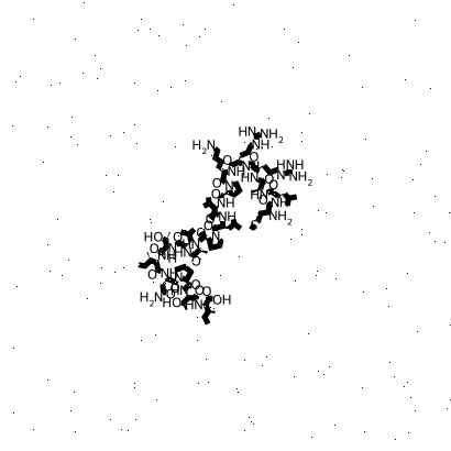 CC[C@H](C)[C@H](NC(=O)[C@@H](NC(=O)[C@@H]1CCCN1C(=O)[C@H](CC(N)=O)NC(=O)[C@@H](NC(=O)[C@@H](NC(=O)[C@H](CC(C)C)NC(=O)[C@H](C)NC(=O)[C@@H]1CCCN1C(=O)[C@H](CC(C)C)NC(=O)[C@@H](NC(=O)[C@@H]1CCCN1C(=O)[C@H](CCCCN)NC(=O)[C@H](CCCNC(=N)N)NC(=O)[C@H](CCCNC(=N)N)NC(=O)[C@H](C)NC(=O)[C@H](CC(C)C)NC(=O)[C@@H](N)CCSC)C(C)C)[C@@H](C)O)[C@@H](C)CC)[C@@H](C)O)C(=O)O